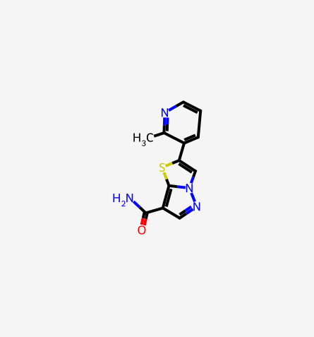 Cc1ncccc1-c1cn2ncc(C(N)=O)c2s1